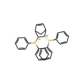 C1=CC2CC1[C@H](P(c1ccccc1)c1ccccc1)[C@H]2P(c1ccccc1)c1ccccc1